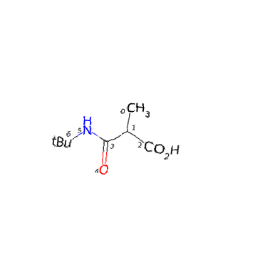 CC(C(=O)O)C(=O)NC(C)(C)C